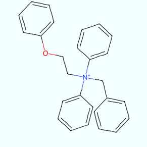 c1ccc(C[N+](CCOc2ccccc2)(c2ccccc2)c2ccccc2)cc1